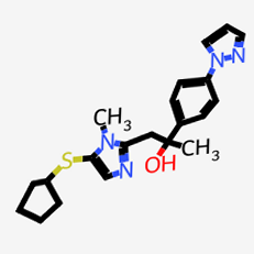 Cn1c(SC2CCCC2)cnc1CC(C)(O)c1ccc(-n2cccn2)cc1